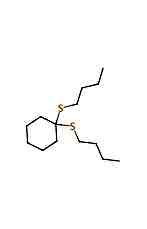 CCCCSC1(SCCCC)CCCCC1